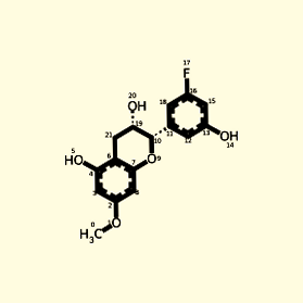 COc1cc(O)c2c(c1)O[C@@H](c1cc(O)cc(F)c1)[C@@H](O)C2